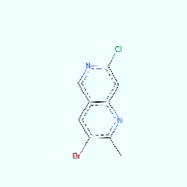 Cc1nc2cc(Cl)ncc2cc1Br